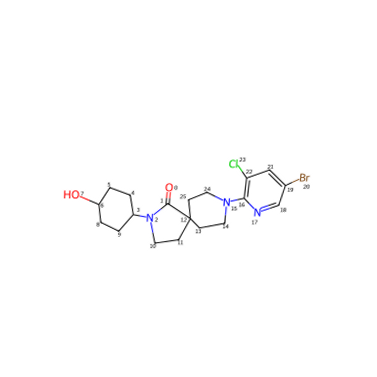 O=C1N(C2CCC(O)CC2)CCC12CCN(c1ncc(Br)cc1Cl)CC2